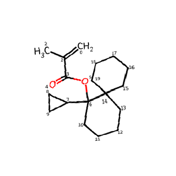 C=C(C)C(=O)OC1(C2CC2)CCCCC12CCCCC2